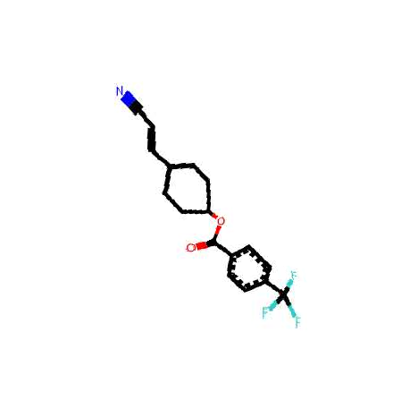 N#CC=CC1CCC(OC(=O)c2ccc(C(F)(F)F)cc2)CC1